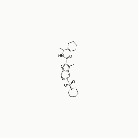 Cc1c(C(=O)NC(C)C2=CCCCC2)oc2ccc(S(=O)(=O)N3CCCCC3)cc12